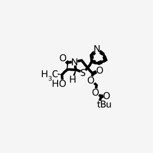 C[C@@H](O)[C@H]1C(=O)N2CC(C(=O)OCOC(=O)C(C)(C)C)(c3cccnc3)S[C@H]12